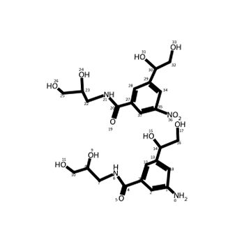 Nc1cc(C(=O)NCC(O)CO)cc(C(O)CO)c1.O=C(NCC(O)CO)c1cc(C(O)CO)cc([N+](=O)[O-])c1